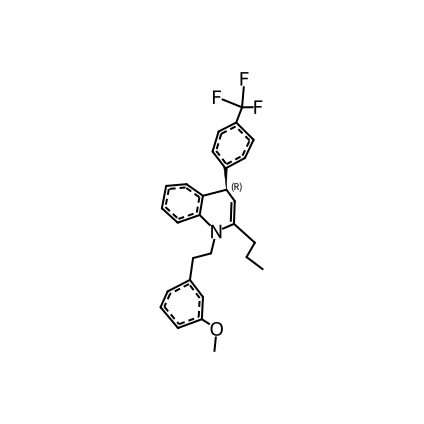 CCCC1=C[C@H](c2ccc(C(F)(F)F)cc2)c2ccccc2N1CCc1cccc(OC)c1